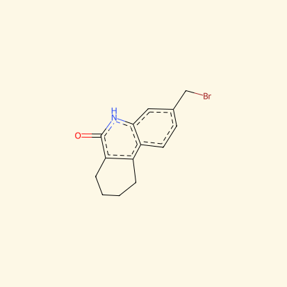 O=c1[nH]c2cc(CBr)ccc2c2c1CCCC2